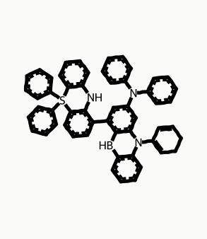 B1c2ccccc2N(C2=CCCC=C2)c2cc(N(c3ccccc3)c3ccccc3)cc(-c3cccc4c3Nc3ccccc3S4(c3ccccc3)c3ccccc3)c21